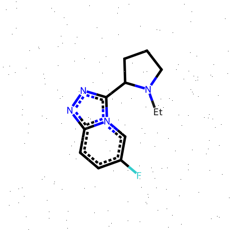 CCN1CCCC1c1nnc2ccc(F)cn12